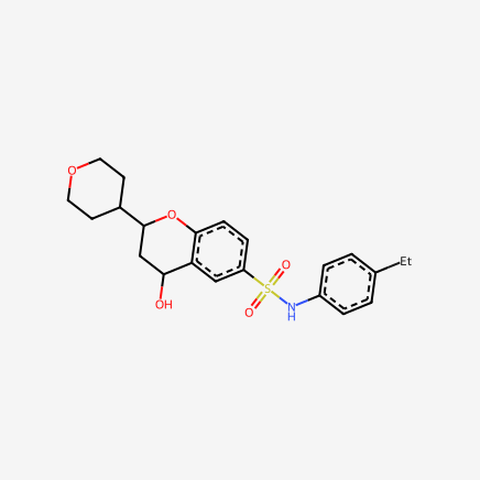 CCc1ccc(NS(=O)(=O)c2ccc3c(c2)C(O)CC(C2CCOCC2)O3)cc1